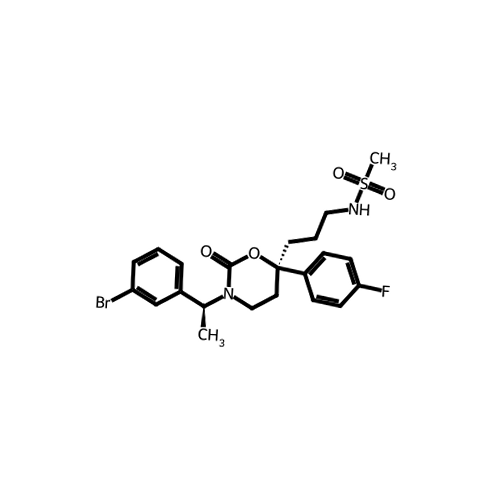 C[C@@H](c1cccc(Br)c1)N1CC[C@](CCCNS(C)(=O)=O)(c2ccc(F)cc2)OC1=O